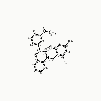 COc1cc(N2Sc3ccccc3N(Cc3c(F)cc(F)cc3Cl)C2=O)ccn1